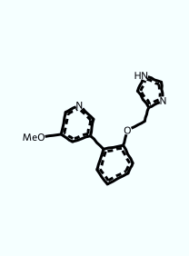 COc1cncc(-c2ccccc2OCc2c[nH]cn2)c1